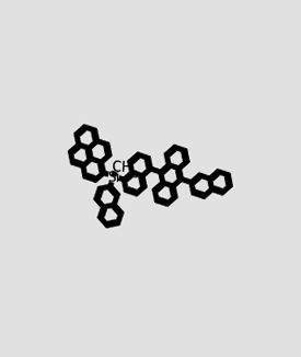 C[Si](c1ccc2ccccc2c1)(c1cccc2c(-c3c4ccccc4c(-c4ccc5ccccc5c4)c4ccccc34)cccc12)c1ccc2ccc3cccc4ccc1c2c34